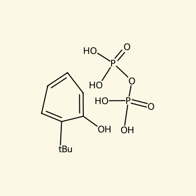 CC(C)(C)c1ccccc1O.O=P(O)(O)OP(=O)(O)O